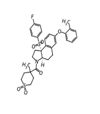 Cc1ccccc1Oc1ccc2c(c1)CC[C@H]1N(C(=O)C3(C)CCS(=O)(=O)CC3)CC[C@@]21S(=O)(=O)c1ccc(F)cc1